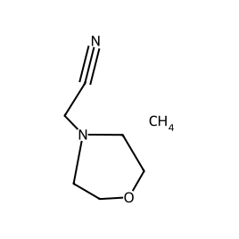 C.N#CCN1CCOCC1